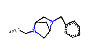 CCOC(=O)CN1CC2CC1CN2Cc1ccccc1